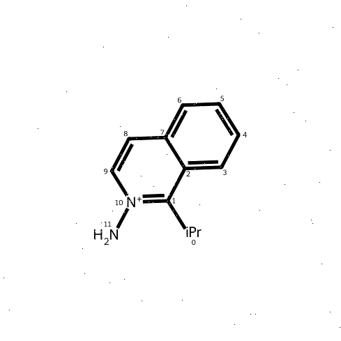 CC(C)c1c2ccccc2cc[n+]1N